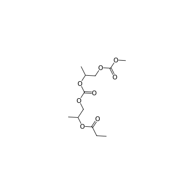 CCC(=O)OC(C)COC(=O)OC(C)COC(=O)OC